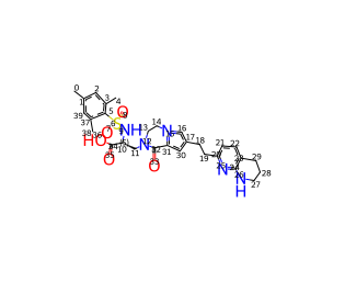 Cc1cc(C)c(S(=O)(=O)N[C@@H](CN2CCn3cc(CCc4ccc5c(n4)NCCC5)cc3C2=O)C(=O)O)c(C)c1